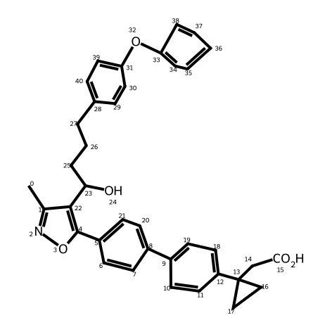 Cc1noc(-c2ccc(-c3ccc(C4(CC(=O)O)CC4)cc3)cc2)c1C(O)CCCc1ccc(Oc2ccccc2)cc1